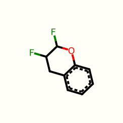 FC1Cc2ccccc2OC1F